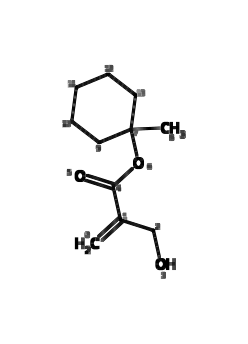 C=C(CO)C(=O)OC1(C)CCCCC1